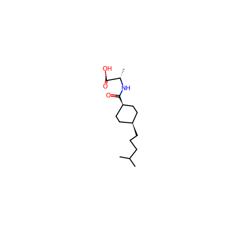 CC(C)CCC[C@H]1CC[C@@H](C(=O)N[C@@H](C)C(=O)O)CC1